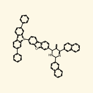 C=C1C(c2ccc3ccccc3c2)=NC(c2ccc3ccccc3c2)NC1c1ccc2c(c1)oc1cc(-n3c4cc(-c5ccccc5)ccc4c4ccc(-c5ccccc5)cc43)ccc12